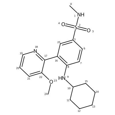 CNS(=O)(=O)c1ccc(NC2CCCCC2)c(-c2ncccc2OC)c1